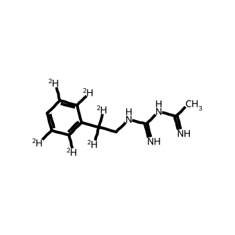 [2H]c1cc([2H])c([2H])c(C([2H])([2H])CNC(=N)NC(C)=N)c1[2H]